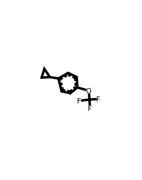 FC(F)(F)Oc1[c]cc(C2CC2)cc1